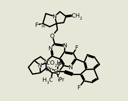 C=C1CN2C[C@H](F)CC2(COc2nc3c4c(nc(-c5cccc6ccc(F)c(C#C[Si](C(C)C)(C(C)C)C(C)C)c56)c(F)c4n2)OC(C)C2C4CCC(CN32)N4C(=O)O)C1